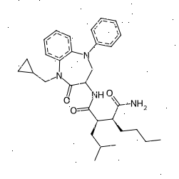 CCCC[C@H](C(N)=O)[C@@H](CC(C)C)C(=O)NC1CN(c2ccccc2)c2ccccc2N(CC2CC2)C1=O